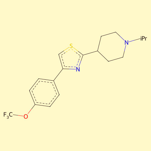 CC(C)N1CCC(c2nc(-c3ccc(OC(F)(F)F)cc3)cs2)CC1